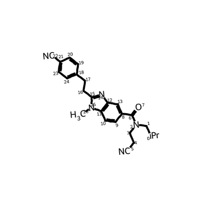 CC(C)CN(CCC#N)C(=O)c1ccc2c(c1)nc(CCc1ccc(C#N)cc1)n2C